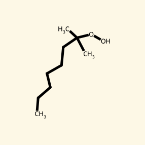 CCCCCCC(C)(C)OO